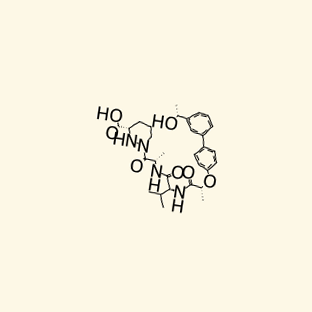 CC(C)[C@H](NC(=O)[C@@H](C)Oc1ccc(-c2cccc([C@@H](C)O)c2)cc1)C(=O)N[C@@H](C)C(=O)N1CCC[C@@H](C(=O)O)N1